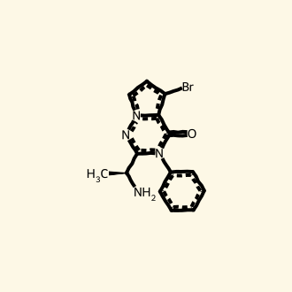 C[C@H](N)c1nn2ccc(Br)c2c(=O)n1-c1ccccc1